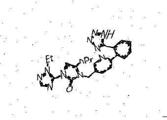 CCCc1cn(-c2ncnn2CC)c(=O)n1Cc1ccc(-c2ccccc2-c2nnn[nH]2)nc1